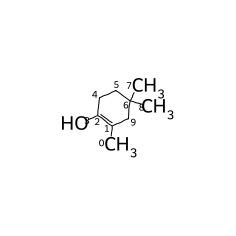 CC1=C(O)CCC(C)(C)C1